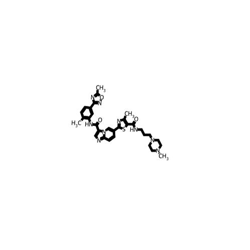 Cc1nc(-c2ccc(C)c(NC(=O)c3cnc4ccc(-c5nc(C)c(C(=O)NCCCN6CCN(C)CC6)s5)cn34)c2)no1